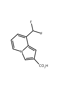 O=C(O)c1cc2c(C(F)F)cccn2c1